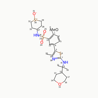 COc1ccc(-c2sc(NC(C)(C)C3CCOCC3)nc2C)cc1S(=O)(=O)NC1CC[S+]([O-])CC1